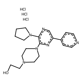 Cl.Cl.Cl.OCCN1CCN(c2nc(-c3ccncc3)cnc2N2CCCC2)CC1